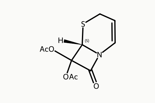 CC(=O)OC1(OC(C)=O)C(=O)N2C=CCS[C@H]21